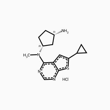 CN(c1ncnc2sc(C3CC3)cc12)[C@@H]1CC[C@H](N)C1.Cl